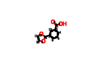 O=C(O)c1cccc(C2OC=CO2)c1